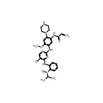 C=CC(=O)Nc1cc(Nc2ncc(Cl)c(Nc3ccccc3[S+]([O-])C(C)C)n2)c(OC)cc1N1CCNCC1